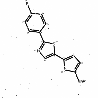 CSc1ccc(-c2cnc(-c3ccc(F)cc3)s2)s1